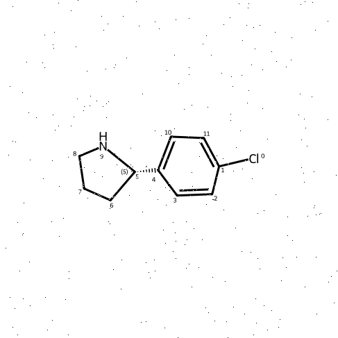 Clc1ccc([C@@H]2CCCN2)cc1